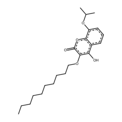 CCCCCCCCCCOc1c(O)c2cccc(OC(C)C)c2oc1=O